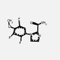 COc1c(F)cc(-n2ccnc2C(N)=O)c(F)c1F